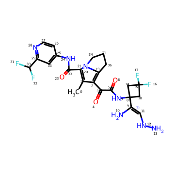 Cc1c(C(=O)C(=O)NC2(/C(N)=C/NN)CC(F)(F)C2)c2n(c1C(=O)Nc1ccnc(C(F)F)c1)CCC2